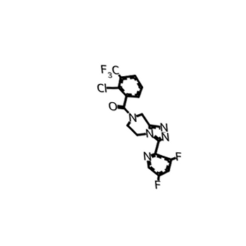 O=C(c1cccc(C(F)(F)F)c1Cl)N1CCn2c(nnc2-c2ncc(F)cc2F)C1